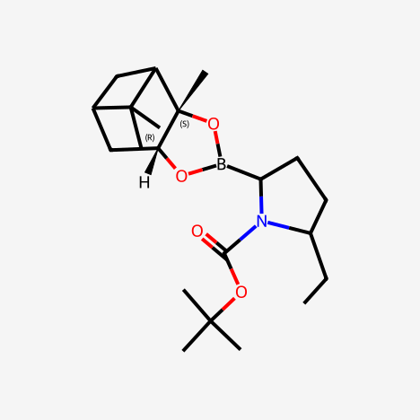 CCC1CCC(B2O[C@@H]3CC4CC(C4(C)C)[C@]3(C)O2)N1C(=O)OC(C)(C)C